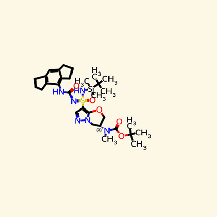 CN(C(=O)OC(C)(C)C)[C@H]1COc2c(S(=O)(=NC(=O)Nc3c4c(cc5c3CCC5)CCC4)N[Si](C)(C)C(C)(C)C)cnn2C1